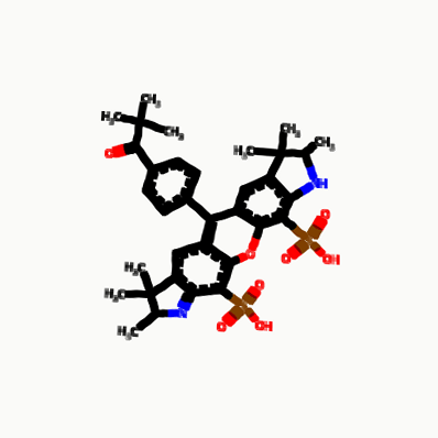 CC1N=c2c(cc3c(c2S(=O)(=O)O)Oc2c(cc4c(c2S(=O)(=O)O)NC(C)C4(C)C)C=3c2ccc(C(=O)C(C)(C)C)cc2)C1(C)C